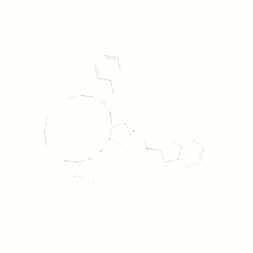 O=C1N[C@H](B(O)O)CCCCCCCCCN(Cc2ccccc2)C(=O)N2C[C@H](OC(=O)N3Cc4ccccc4C3)C[C@@H]12